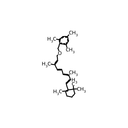 CC(C=CC1=C(C)CCCC1(C)C)=CC=CC(C)=CCOCc1c(C)cc(C)cc1C